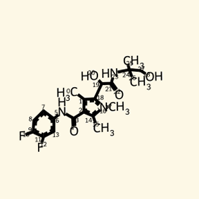 Cc1c(C(=O)Nc2ccc(F)c(F)c2)c(C)n(C)c1C(O)C(=O)NC(C)(C)CO